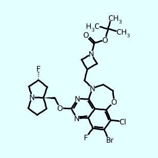 CC(C)(C)OC(=O)N1CC(CN2CCOc3c(Cl)c(Br)c(F)c4nc(OC[C@@]56CCCN5C[C@H](F)C6)nc2c34)C1